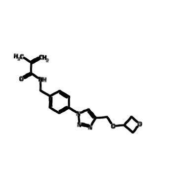 C=C(C)C(=O)NCc1ccc(-n2cc(COC3COC3)nn2)cc1